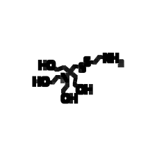 NCCSSCC(CCO)(CCO)N(CCO)CCO